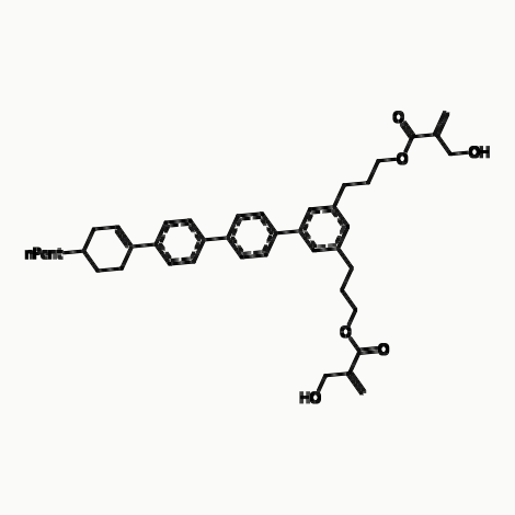 C=C(CO)C(=O)OCCCc1cc(CCCOC(=O)C(=C)CO)cc(-c2ccc(-c3ccc(C4=CCC(CCCCC)CC4)cc3)cc2)c1